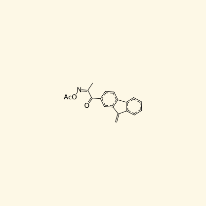 C=C1c2ccccc2-c2ccc(C(=O)/C(C)=N\OC(C)=O)cc21